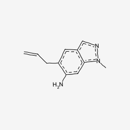 C=CCc1cc2cnn(C)c2cc1N